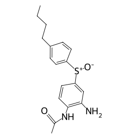 CCCCc1ccc([S+]([O-])c2ccc(NC(C)=O)c(N)c2)cc1